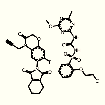 C#CCN1C(=O)COc2cc(F)c(N3C(=O)C4=C(CCCC4)C3=O)cc21.COc1nc(C)nc(NC(=O)NS(=O)(=O)c2ccccc2OCCCl)n1